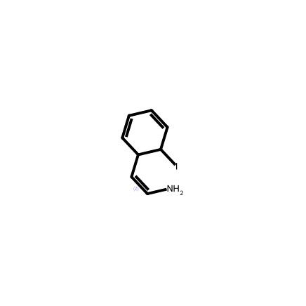 N/C=C\C1C=CC=CC1I